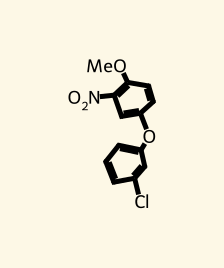 COc1ccc(Oc2cccc(Cl)c2)cc1[N+](=O)[O-]